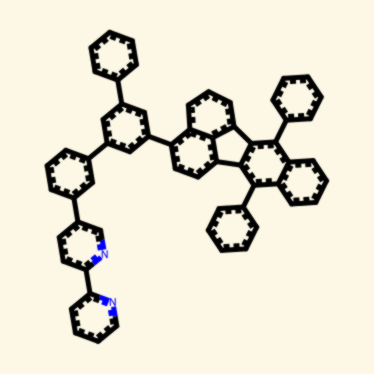 c1ccc(-c2cc(-c3cccc(-c4ccc(-c5ccccn5)nc4)c3)cc(-c3ccc4c5c(cccc35)-c3c-4c(-c4ccccc4)c4ccccc4c3-c3ccccc3)c2)cc1